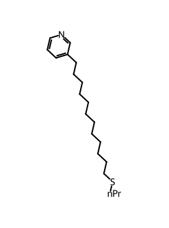 CCCSCCCCCCCCCCCCc1cccnc1